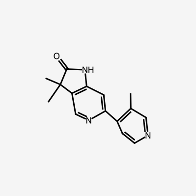 Cc1cnccc1-c1cc2c(cn1)C(C)(C)C(=O)N2